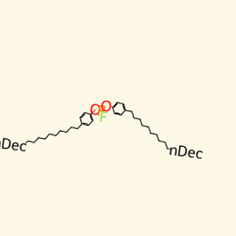 CCCCCCCCCCCCCCCCCCCCc1ccc(OP(F)Oc2ccc(CCCCCCCCCCCCCCCCCCCC)cc2)cc1